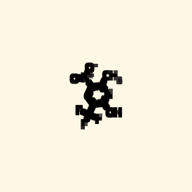 Cc1nc(O)c(C(F)(F)F)cc1[N+](=O)[O-]